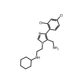 NCc1c(-c2ccc(Cl)cc2Cl)ncn1CCNC1CCCCC1